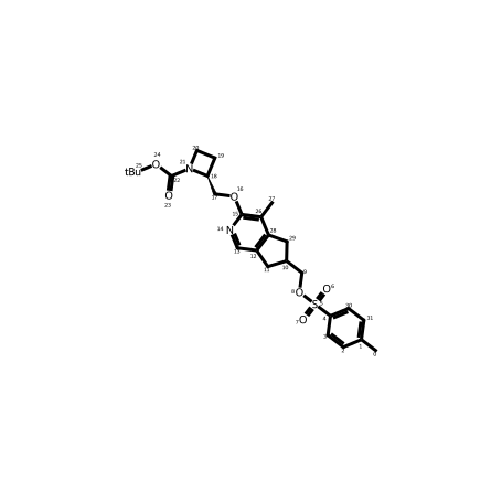 Cc1ccc(S(=O)(=O)OCC2Cc3cnc(OC[C@@H]4CCN4C(=O)OC(C)(C)C)c(C)c3C2)cc1